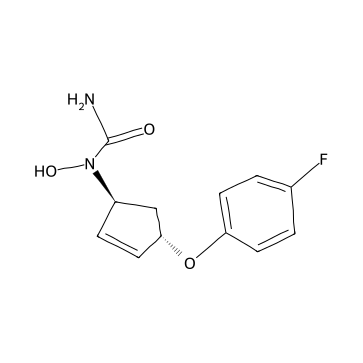 NC(=O)N(O)[C@@H]1C=C[C@@H](Oc2ccc(F)cc2)C1